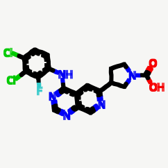 O=C(O)N1CCC(c2cc3c(Nc4ccc(Cl)c(Cl)c4F)ncnc3cn2)C1